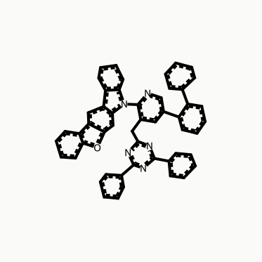 c1ccc(-c2nc(Cc3cc(-c4ccccc4-c4ccccc4)cnc3-n3c4ccccc4c4cc5c(cc43)oc3ccccc35)nc(-c3ccccc3)n2)cc1